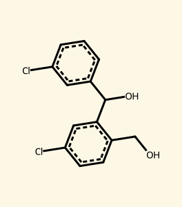 OCc1ccc(Cl)cc1C(O)c1cccc(Cl)c1